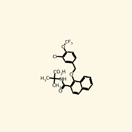 CC(C)(NC(=O)c1ccc2ccccc2c1OCc1ccc(OC(F)(F)F)c(Cl)c1)C(=O)O